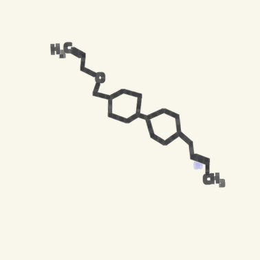 C=CCOCC1CCC(C2CCC(C/C=C/C)CC2)CC1